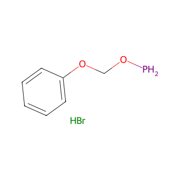 Br.POCOc1ccccc1